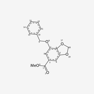 COC(=O)c1cc2c(c(OCc3ccccc3)c1)OCO2